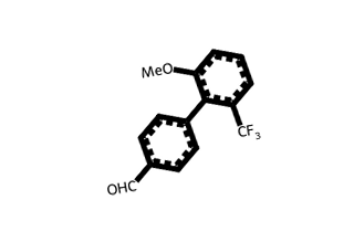 COc1cccc(C(F)(F)F)c1-c1ccc(C=O)cc1